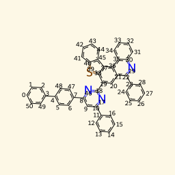 c1ccc(-c2ccc(-c3cc(-c4ccccc4)nc(-c4cc5c(-c6ccccc6)nc6ccccc6c5c5c4sc4ccccc45)n3)cc2)cc1